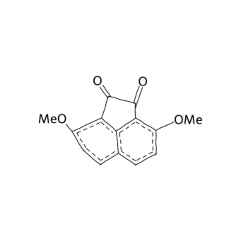 COc1ccc2ccc(OC)c3c2c1C(=O)C3=O